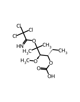 CC[C@H](OC(=O)O)[C@@H](OC)C(C)(C)OC(=N)C(Cl)(Cl)Cl